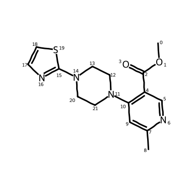 COC(=O)c1cnc(C)cc1N1CCN(c2nccs2)CC1